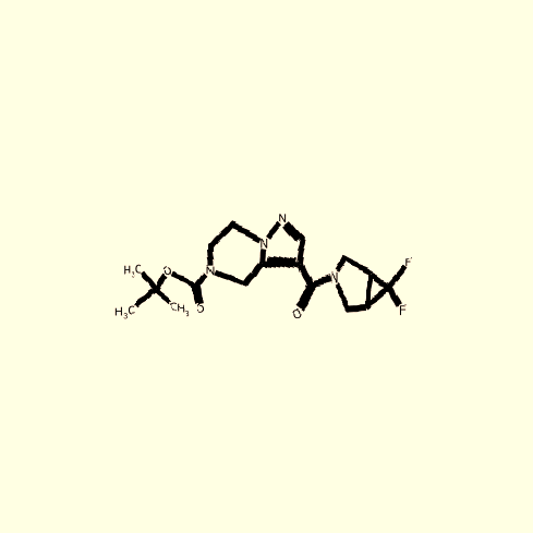 CC(C)(C)OC(=O)N1CCn2ncc(C(=O)N3CC4C(C3)C4(F)F)c2C1